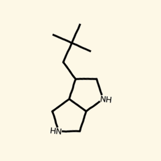 CC(C)(C)CC1CNC2CNCC12